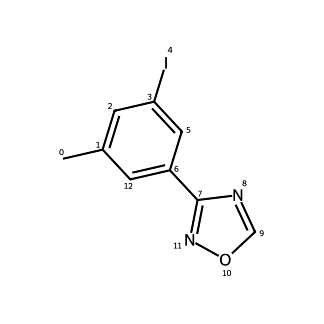 Cc1cc(I)cc(-c2ncon2)c1